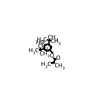 C=C(C)C(=O)OCc1cc(C(C)(C)C)c(O)c(C(C)(C)C)c1